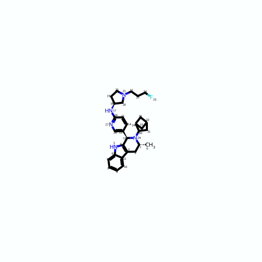 C[C@@H]1Cc2c([nH]c3ccccc23)[C@@H](c2ccc(N[C@H]3CCN(CCCF)C3)nc2)N1C1CC2CC1C2